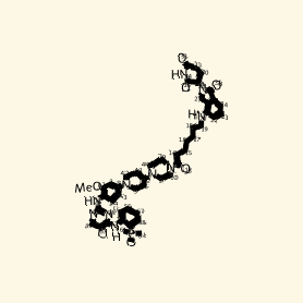 COc1cc(N2CCC(N3CCN(C(=O)CCCCCCNc4cccc5c4CN(C4CCC(=O)NC4=O)C5=O)CC3)CC2)ccc1Nc1ncc(Cl)c(Nc2ccccc2P(C)(C)=O)n1